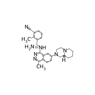 Cc1c(C#N)cccc1[C@@H](N)Nc1nnc(C)c2ccc(N3CCN4CCCC[C@@H]4C3)cc12